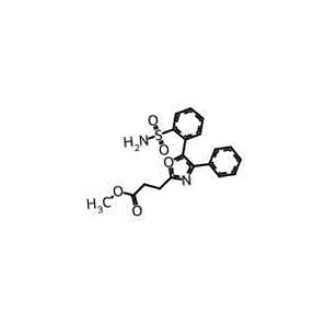 COC(=O)CCc1nc(-c2ccccc2)c(-c2ccccc2S(N)(=O)=O)o1